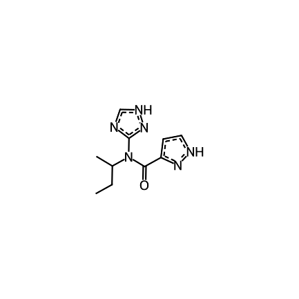 CCC(C)N(C(=O)c1cc[nH]n1)c1nc[nH]n1